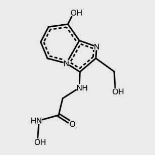 O=C(CNc1c(CO)nc2c(O)cccn12)NO